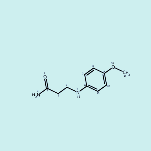 NC(=O)CCNc1ccc(OC(F)(F)F)cc1